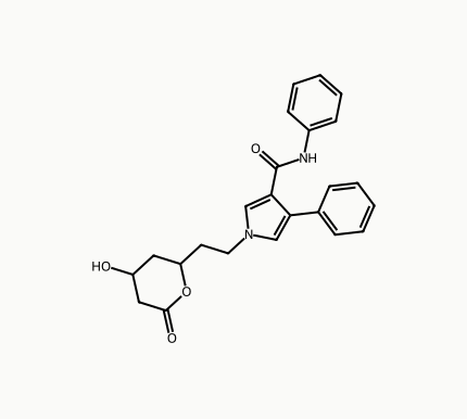 O=C1CC(O)CC(CCn2cc(C(=O)Nc3ccccc3)c(-c3ccccc3)c2)O1